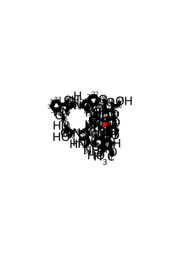 COc1cccc(C2OCC3OC(OC4C(CO)OC(Oc5ccc(CC6NC(=O)C(C(C)c7ccccc7)NC(=O)CNC(=O)C(CO)NC(=O)C(C(O)C7CNC(=N)N7C7OC(CO)C(O)C(O)C7O)NC(=O)C(C(O)C7CNC(=N)N7)NC6=O)cc5)C(O)C4O)C(O)C(O)C3O2)c1